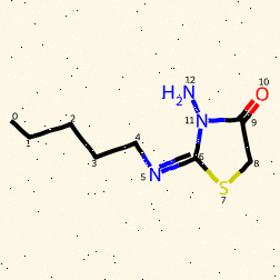 CCCCCN=C1SCC(=O)N1N